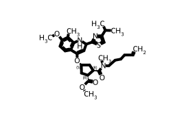 C=CCCCCN(C)C(=O)[C@@H]1C[C@H](OC2=CC(c3nc(C(C)C)cs3)Nc3c2ccc(OC)c3C)C[C@H]1C(=O)OC